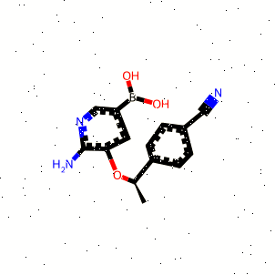 C[C@@H](Oc1cc(B(O)O)cnc1N)c1ccc(C#N)cc1